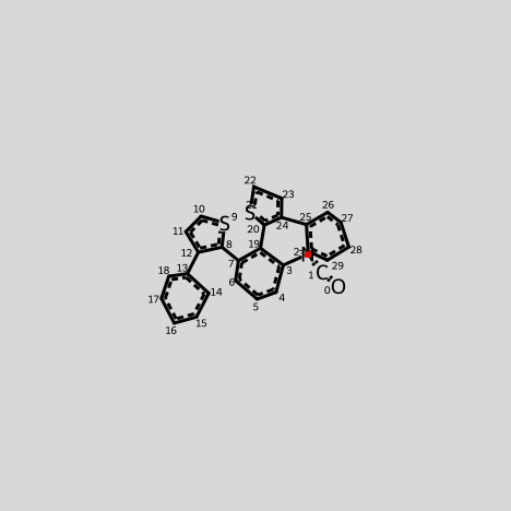 O=C=Nc1cccc(-c2sccc2-c2ccccc2)c1-c1sccc1-c1ccccc1